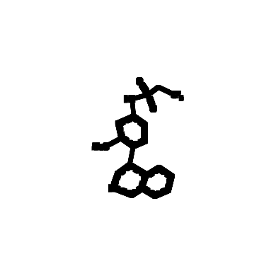 COc1cc(NS(=O)(=O)CC(F)(F)F)ccc1-c1cncc2ccccc12